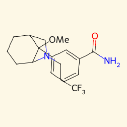 COC1(c2cccc(C(N)=O)c2)C2CCCC1N(CCC(F)(F)F)C2